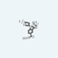 CNC(=O)c1ccc2c(c1)c1nnn(C)c1n2-c1ccc(C(F)(F)F)nc1